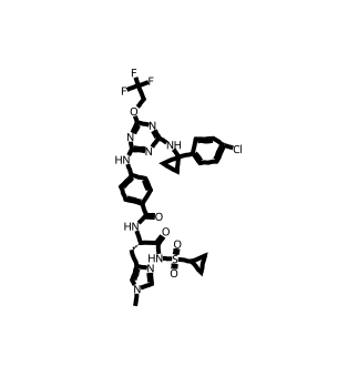 Cn1cnc(C[C@H](NC(=O)c2ccc(Nc3nc(NC4(c5ccc(Cl)cc5)CC4)nc(OCC(F)(F)F)n3)cc2)C(=O)NS(=O)(=O)C2CC2)c1